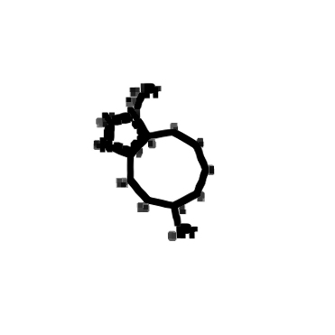 CC(C)C1CCCCc2c(nnn2C(C)C)CC1